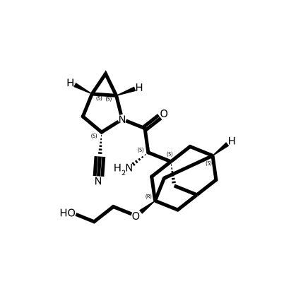 N#C[C@@H]1C[C@@H]2C[C@@H]2N1C(=O)[C@@H](N)[C@]12CC3C[C@H](C[C@](OCCO)(C3)C1)C2